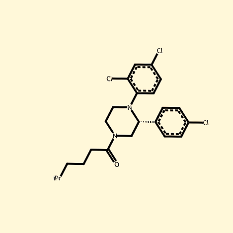 CC(C)CCCC(=O)N1CCN(c2ccc(Cl)cc2Cl)[C@H](c2ccc(Cl)cc2)C1